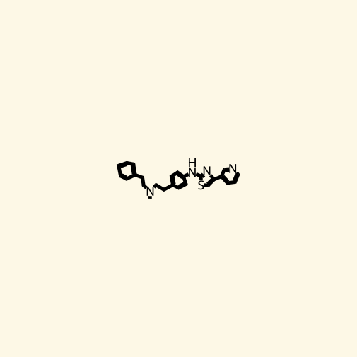 CN(CCc1ccccc1)CCc1ccc(Nc2nc(-c3cccnc3)cs2)cc1